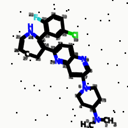 CN(C)C1CCN(c2cnc3ccc(C4=C(c5cc(Cl)ccc5F)NC=CCC4)nc3c2)CC1